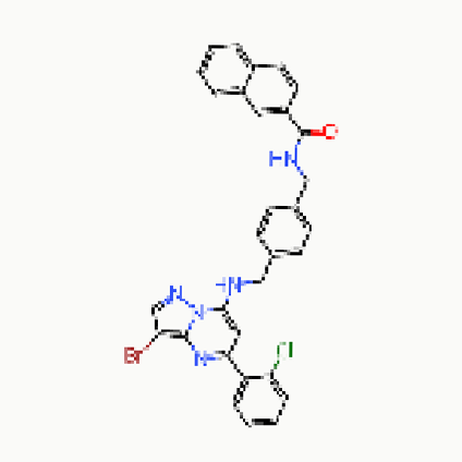 O=C(NCc1ccc(CNc2cc(-c3ccccc3Cl)nc3c(Br)cnn23)cc1)c1ccc2ccccc2c1